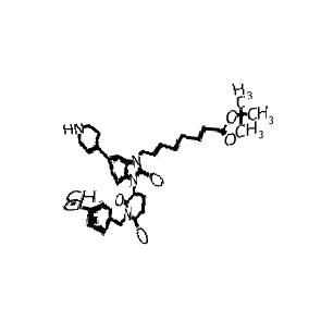 COc1ccc(CN2C(=O)CCC(n3c(=O)n(CCCCCCCC(=O)OC(C)(C)C)c4cc(C5CCNCC5)ccc43)C2=O)cc1